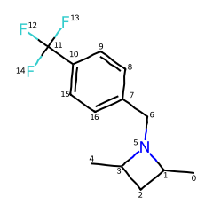 CC1CC(C)N1Cc1ccc(C(F)(F)F)cc1